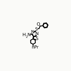 CCCC1CCc2c(sc3nc(SCC(=O)c4ccccc4)nc(N)c23)C1